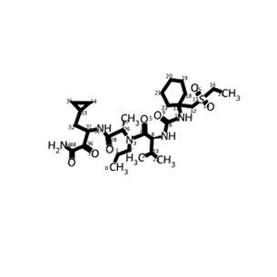 CCCN(C(=O)[C@@H](NC(=O)NC1(CS(=O)(=O)CC)CCCCC1)C(C)C)[C@@H](C)C(=O)NC(CC1CC1)C(=O)C(N)=O